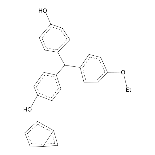 CCOc1ccc(C(c2ccc(O)cc2)c2ccc(O)cc2)cc1.c1cc2cc-2c1